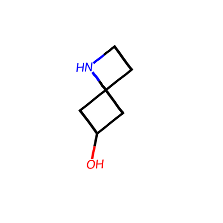 OC1CC2(CCN2)C1